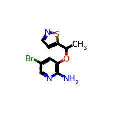 CC(Oc1cc(Br)cnc1N)c1ccns1